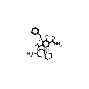 C[C@H]1CC[C@]2(COCCO2)[C@H]2CN1C(=O)c1c(OCc3ccccc3)c(=O)c(C(N)=O)cn12